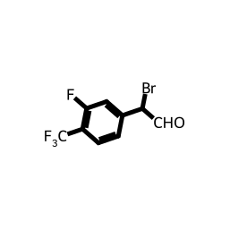 O=CC(Br)c1ccc(C(F)(F)F)c(F)c1